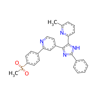 Cc1cccc(-c2[nH]c(-c3ccccc3)nc2-c2ccnc(-c3ccc(S(C)(=O)=O)cc3)c2)n1